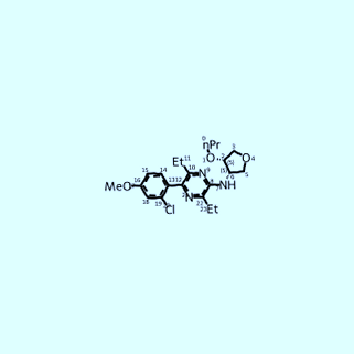 CCCO[C@@H]1COC[C@@H]1Nc1nc(CC)c(-c2ccc(OC)cc2Cl)nc1CC